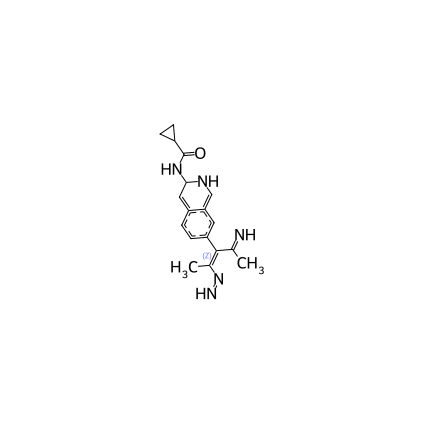 CC(=N)/C(=C(/C)N=N)c1ccc2c(c1)=CNC(NC(=O)C1CC1)C=2